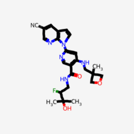 CC1(CNc2cc(-n3ccc4cc(C#N)cnc43)ncc2C(=O)NCC(F)C(C)(C)O)COC1